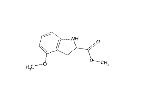 COC(=O)C1Cc2c(cccc2OC)N1